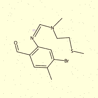 CSCCN(C)/C=N\c1cc(Br)c(C)cc1C=O